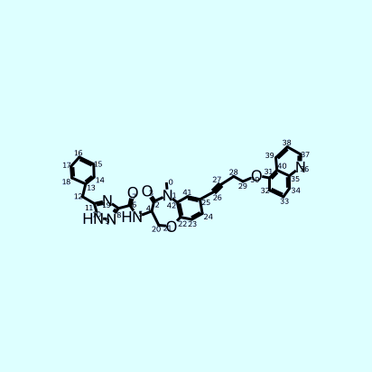 CN1C(=O)C(NC(=O)c2n[nH]c(Cc3ccccc3)n2)COc2ccc(C#CCCOc3cccc4ncccc34)cc21